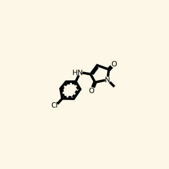 CN1C(=O)C=C(Nc2ccc(Cl)cc2)C1=O